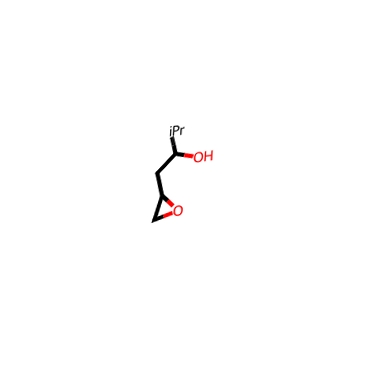 CC(C)C(O)CC1CO1